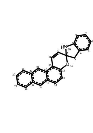 C1=CC2(Cc3ccccc3N2)Oc2ccc3cc4ccccc4cc3c21